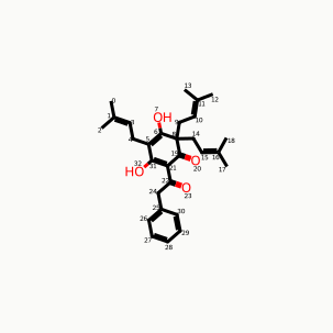 CC(C)=CCC1=C(O)C(CC=C(C)C)(CC=C(C)C)C(=O)C(C(=O)Cc2ccccc2)=C1O